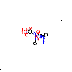 COc1cc(/C=N/NC(=O)C(Cc2c[nH]c3ccccc23)NC(=O)OCc2ccccc2)cc([N+](=O)O)c1O